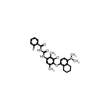 Cc1cc(NC(=O)NC(=O)c2ccccc2F)c(C)c(Cl)c1Oc1ccc(N(C)C)c2c1CCCC2